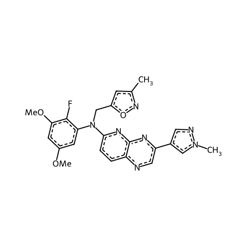 COc1cc(OC)c(F)c(N(Cc2cc(C)no2)c2ccc3ncc(-c4cnn(C)c4)nc3n2)c1